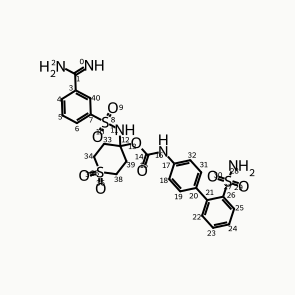 N=C(N)c1cccc(S(=O)(=O)NC2(OC(=O)Nc3ccc(-c4ccccc4S(N)(=O)=O)cc3)CCS(=O)(=O)CC2)c1